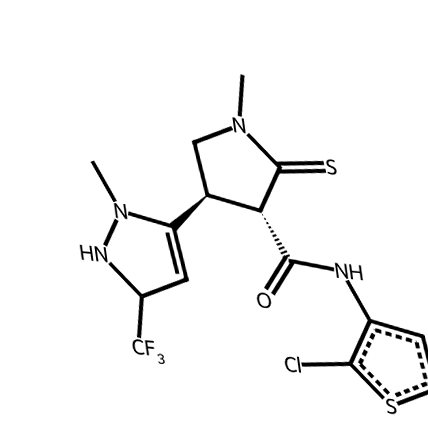 CN1C[C@H](C2=CC(C(F)(F)F)NN2C)[C@@H](C(=O)Nc2ccsc2Cl)C1=S